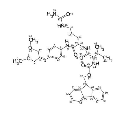 COCC(=Cc1ccc(NC(=O)[C@H](CCCNC(N)=O)NC(=O)[C@@H](NC(=O)OCC2c3ccccc3-c3ccccc32)C(C)C)cc1)COC